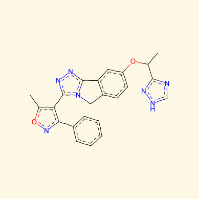 Cc1onc(-c2ccccc2)c1-c1nnc2n1Cc1ccc(OC(C)c3nc[nH]n3)cc1-2